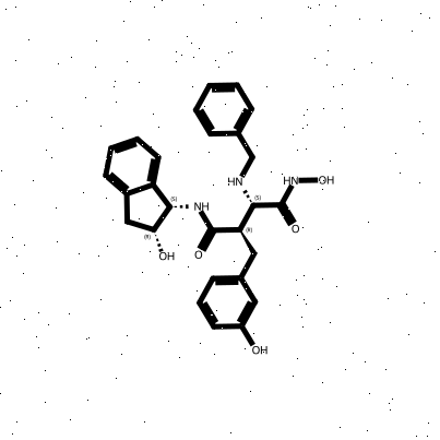 O=C(NO)[C@@H](NCc1ccccc1)[C@@H](Cc1cccc(O)c1)C(=O)N[C@H]1c2ccccc2C[C@H]1O